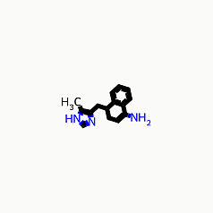 Cc1[nH]cnc1CC1CC=C(N)c2ccccc21